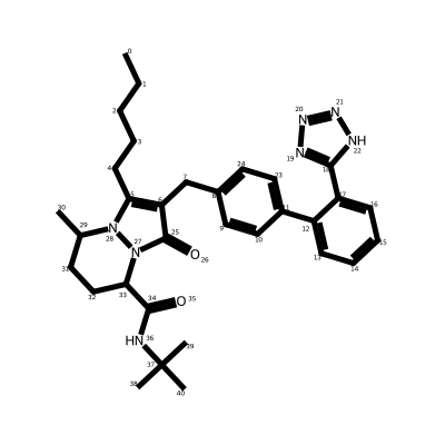 CCCCCc1c(Cc2ccc(-c3ccccc3-c3nnn[nH]3)cc2)c(=O)n2n1C(C)CCC2C(=O)NC(C)(C)C